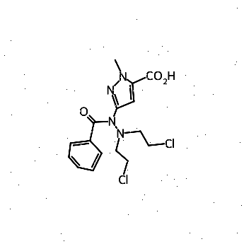 Cn1nc(N(C(=O)c2ccccc2)N(CCCl)CCCl)cc1C(=O)O